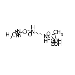 Cc1ccc(OP(=O)(O)O)c(C(F)C(=O)NCCCCCCNC(=O)Cc2ccc(-c3nnc(C)nn3)cc2)c1